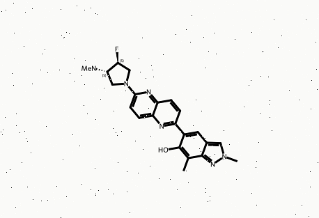 CN[C@H]1CN(c2ccc3nc(-c4cc5cn(C)nc5c(C)c4O)ccc3n2)C[C@@H]1F